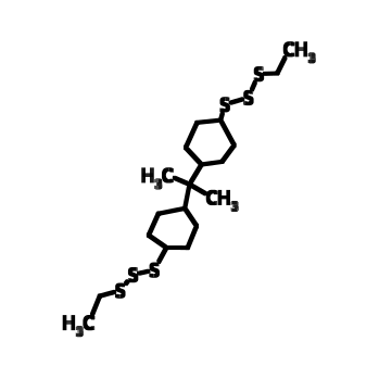 CCSSSC1CCC(C(C)(C)C2CCC(SSSCC)CC2)CC1